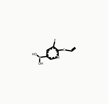 C=CCc1ncc(B(O)O)cc1F